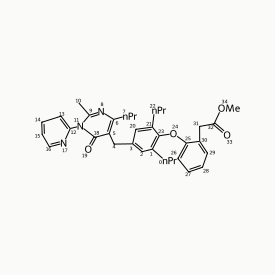 CCCc1cc(Cc2c(CCC)nc(C)n(-c3ccccn3)c2=O)cc(CCC)c1Oc1ccccc1CC(=O)OC